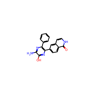 Nc1nc(-c2ccccc2)c(-c2ccc3c(=O)[nH]ccc3c2)nc1O